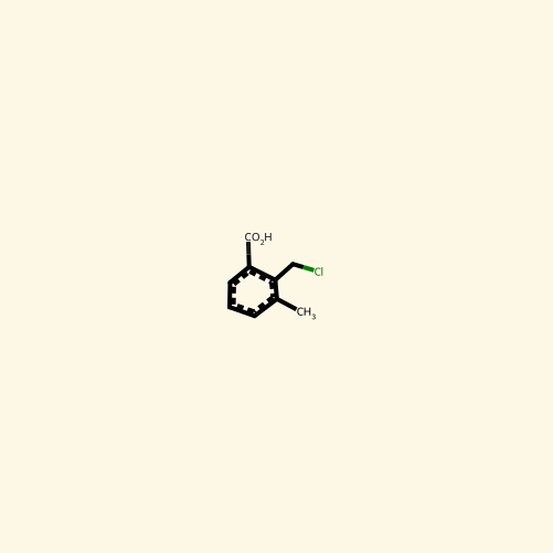 Cc1cccc(C(=O)O)c1CCl